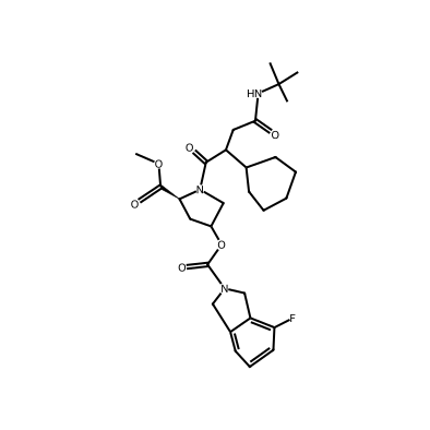 COC(=O)[C@@H]1CC(OC(=O)N2Cc3cccc(F)c3C2)CN1C(=O)C(CC(=O)NC(C)(C)C)C1CCCCC1